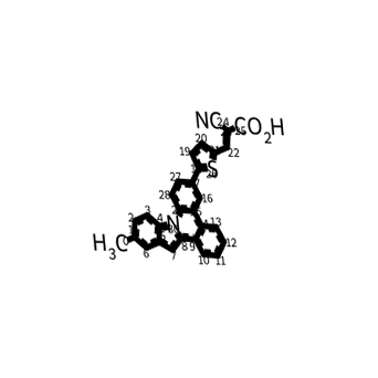 Cc1ccc2c(c1)cc1c3ccccc3c3cc(-c4ccc(/C=C(\C#N)C(=O)O)s4)ccc3n21